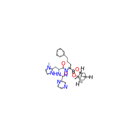 Cn1ccnc1CC(NC(=O)c1cnccn1)C(=O)N[C@@H](CCCc1ccccc1)B1O[C@@H]2C[C@@H]3C[C@@H](C3(C)C)[C@]2(C)O1